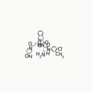 Cc1cc(NC(=O)[C@H](CCN)NC(=O)[C@@H]2Cc3ccccc3CN2C(=O)CCC(=O)N2CCC(O)CC2)ccc1Cl